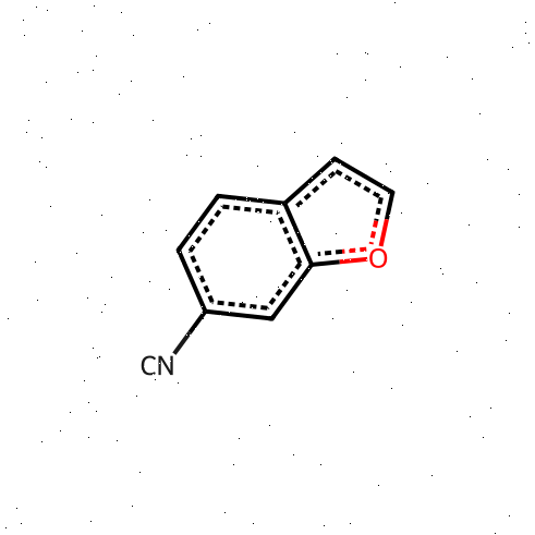 [C-]#[N+]c1ccc2ccoc2c1